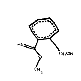 COC(=N)c1ccccc1O.Cl